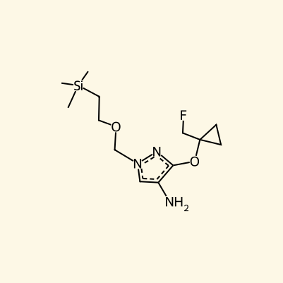 C[Si](C)(C)CCOCn1cc(N)c(OC2(CF)CC2)n1